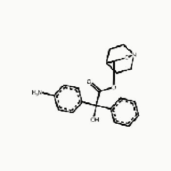 Nc1ccc(C(O)(C(=O)OC2CN3CCC2CC3)c2ccccc2)cc1